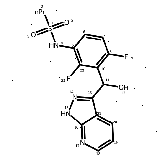 CCCS(=O)(=O)Nc1ccc(F)c(C(O)c2n[nH]c3ncccc23)c1F